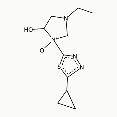 CCN1CC(O)[N+]([O-])(c2nnc(C3CC3)s2)C1